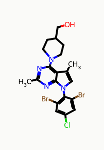 Cc1nc(N2CCC(CO)CC2)c2c(C)cn(-c3c(Br)cc(Cl)cc3Br)c2n1